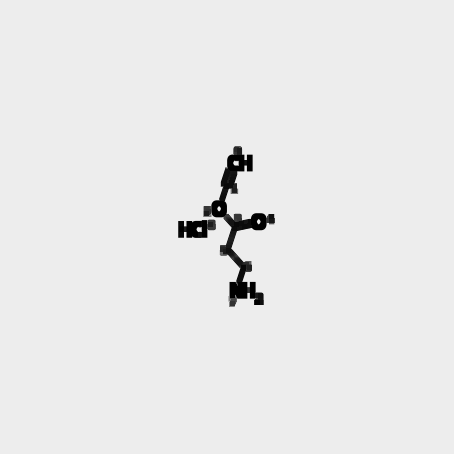 C#COC(=O)CCN.Cl